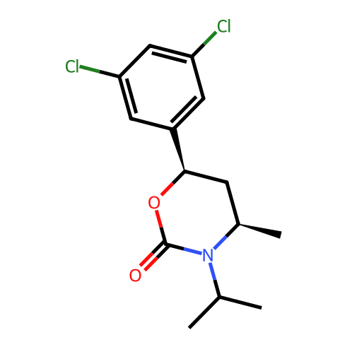 CC(C)N1C(=O)O[C@@H](c2cc(Cl)cc(Cl)c2)C[C@H]1C